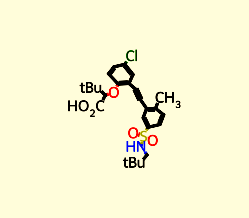 Cc1ccc(S(=O)(=O)NCC(C)(C)C)cc1C#Cc1cc(Cl)ccc1OC(C(=O)O)C(C)(C)C